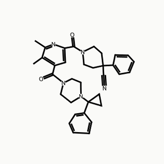 Cc1nc(C(=O)N2CCC(C#N)(c3ccccc3)CC2)cc(C(=O)N2CCN(C3(c4ccccc4)CC3)CC2)c1C